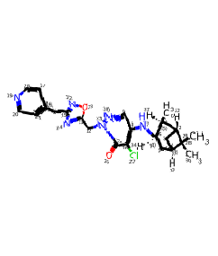 C[C@H]1[C@H]2C[C@H](C[C@H]1Nc1cnn(Cc3nc(-c4ccncc4)no3)c(=O)c1Cl)C2(C)C